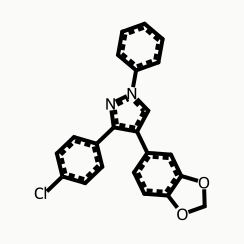 Clc1ccc(-c2nn(-c3ccccc3)cc2-c2ccc3c(c2)OCO3)cc1